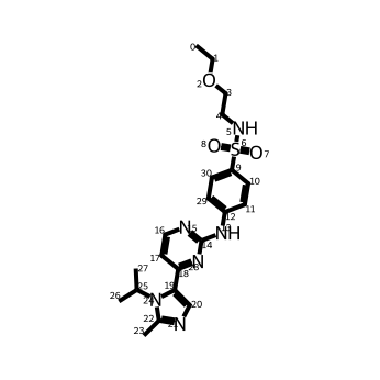 CCOCCNS(=O)(=O)c1ccc(Nc2nccc(-c3cnc(C)n3C(C)C)n2)cc1